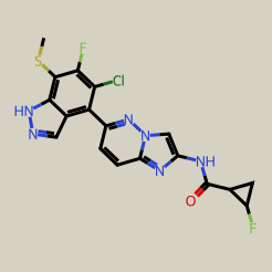 CSc1c(F)c(Cl)c(-c2ccc3nc(NC(=O)C4CC4F)cn3n2)c2cn[nH]c12